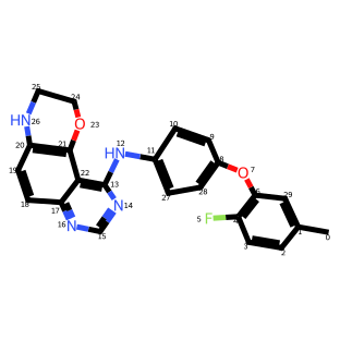 Cc1ccc(F)c(Oc2ccc(Nc3ncnc4ccc5c(c34)OCCN5)cc2)c1